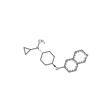 CN(C1CC1)[C@H]1CC[C@H](Oc2ccc3cnccc3c2)CC1